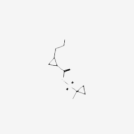 CC1(S(=O)(=O)NC(=O)C2CC2CCF)CC1